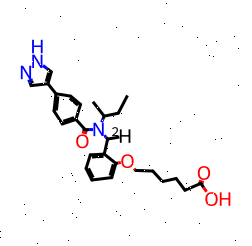 [2H]C(c1ccccc1OCCCCCC(=O)O)N(C(=O)c1ccc(-c2cn[nH]c2)cc1)C(C)CC